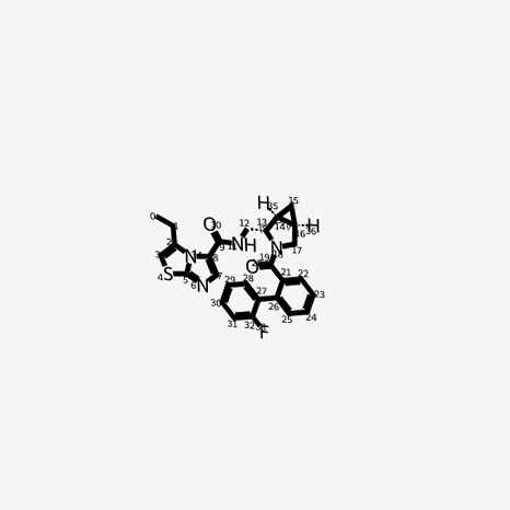 CCc1csc2ncc(C(=O)NC[C@@H]3[C@H]4C[C@H]4CN3C(=O)c3ccccc3-c3ccccc3F)n12